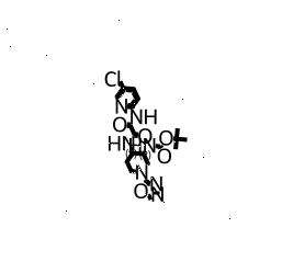 CC(C)(C)OC(=O)N[C@@H]1CN(c2nnco2)CC[C@@H]1NC(=O)C(=O)Nc1ccc(Cl)cn1